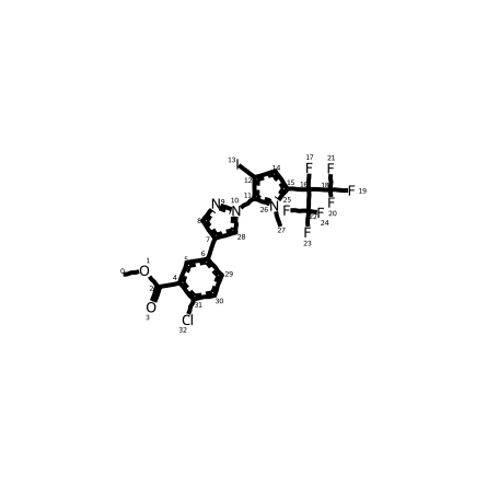 COC(=O)c1cc(-c2cnn(-c3c(I)cc(C(F)(C(F)(F)F)C(F)(F)F)n3C)c2)ccc1Cl